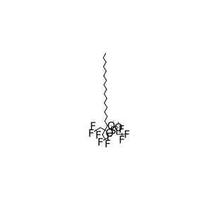 CCCCCCCCCCCCCCCCCC(CC(F)(F)F)(CC(F)(F)F)O[Si](CC(F)(F)F)(OC)OC